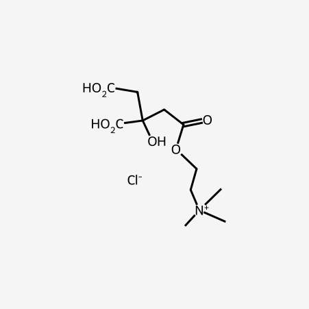 C[N+](C)(C)CCOC(=O)CC(O)(CC(=O)O)C(=O)O.[Cl-]